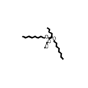 CCCCCCCCOC(CCCC)=C(OCCCCCCCC)OCOC